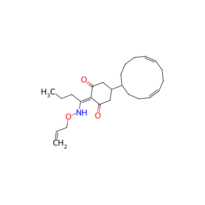 C=CCONC(CCC)=C1C(=O)CC(C2CCC=CCCC=CCCC2)CC1=O